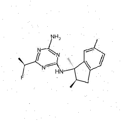 Cc1ccc2c(c1)[C@](C)(Nc1nc(N)nc([C@H](C)F)n1)[C@H](C)C2